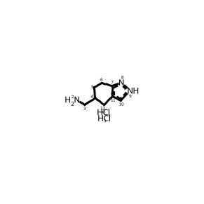 Cl.Cl.NCC1CCc2n[nH]cc2C1